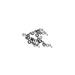 CCc1cc(CN2CCC[C@H](C[n+]3cn(C)c(C4(c5cccc(-c6cnc7c(C)cc(CN8CCC[C@H](C)C8)cn7c6=O)c5)CC(C)C4)n3)C2)cn2c(=O)c(-c3cccc(C4(c5nncn5C)CC(C)C4)c3)cnc12